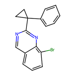 Brc1cccc2cnc(C3(c4ccccc4)CC3)nc12